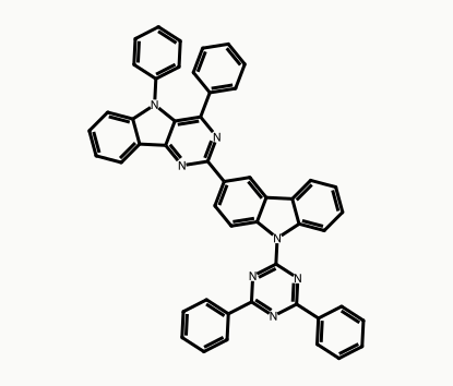 c1ccc(-c2nc(-c3ccccc3)nc(-n3c4ccccc4c4cc(-c5nc(-c6ccccc6)c6c(n5)c5ccccc5n6-c5ccccc5)ccc43)n2)cc1